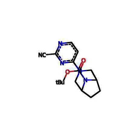 CC(C)(C)OC(=O)N1C2CCC1CN(c1ccnc(C#N)n1)C2